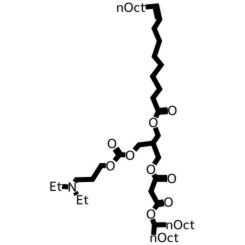 CCCCCCCC/C=C\CCCCCCCC(=O)OCC(COC(=O)CC(=O)OC(CCCCCCCC)CCCCCCCC)COC(=O)OCCCN(CC)CC